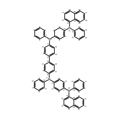 C1=C(N(c2ccccc2)c2ccc(-c3ccc(N(c4ccccc4)c4ccc(N(c5ccccc5)c5cccc6ccccc56)cc4)cc3)cc2)CCC(N(c2ccccc2)c2cccc3ccccc23)=C1